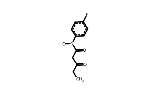 CCC(=O)CC(=O)N(C)c1ccc(F)cc1